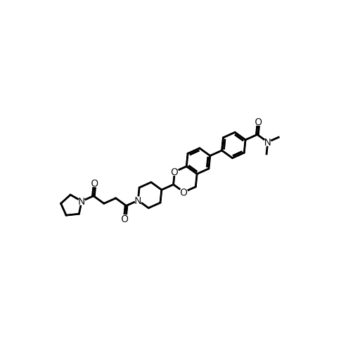 CN(C)C(=O)c1ccc(-c2ccc3c(c2)COC(C2CCN(C(=O)CCC(=O)N4CCCC4)CC2)O3)cc1